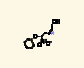 O=[N+]([O-])C(C/C=C\CO)Oc1ccccc1